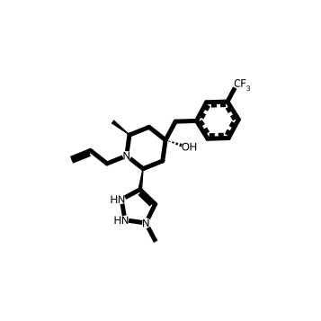 C=CCN1[C@@H](C)C[C@@](O)(Cc2cccc(C(F)(F)F)c2)C[C@H]1C1=CN(C)NN1